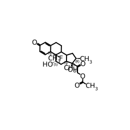 CC(=O)OCC(=O)[C@@]1(O)[C@H](C)CC2C3CCC4=CC(=O)C=C[C@]4(C)[C@@]3(F)[C@@H](O)C[C@@]21C